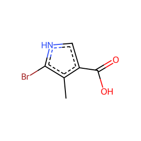 Cc1c(C(=O)O)c[nH]c1Br